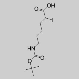 CC(C)(C)OC(=O)NCCCCC(I)C(=O)O